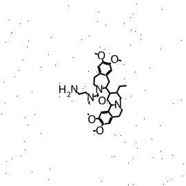 CCC1CN2CCc3cc(OC)c(OC)cc3C2CC1C1Cc2cc(OC)c(OC)cc2CCN1C(=O)N(C)CCN